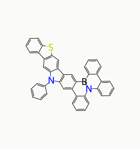 c1ccc(-n2c3cc4c(cc3c3cc5sc6ccccc6c5cc32)B2c3ccccc3-c3ccccc3N2c2ccccc2-4)cc1